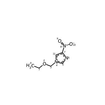 CCOCn1cnc([N+](=O)[O-])c1